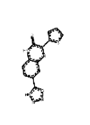 O=c1[nH]c2ccc(-c3nnn[nH]3)cc2nc1-c1cccs1